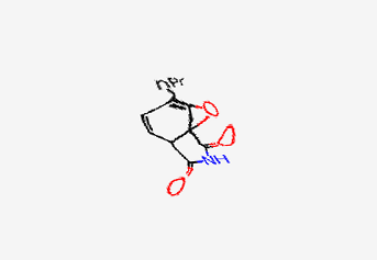 CCCC1=C2OC23C(=O)NC(=O)C3C=C1